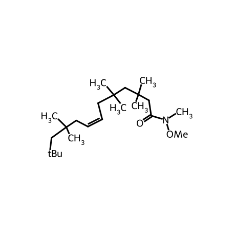 CON(C)C(=O)CC(C)(C)CC(C)(C)C/C=C\CC(C)(C)CC(C)(C)C